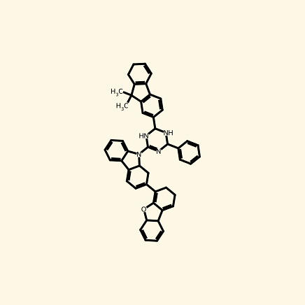 CC1(C)C2=C(C=CCC2)c2ccc(C3NC(N4c5ccccc5C5=CC=C(C6=C7OC8C=CC=CC8C7=CCC6)CC54)=NC(c4ccccc4)N3)cc21